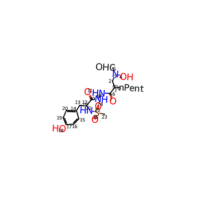 CCCCC[C@H](CN(O)C=O)C(=O)NNC(=O)[C@H](Cc1ccc(O)cc1)NS(C)(=O)=O